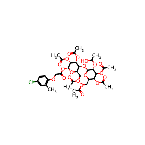 CC(=O)OC[C@H]1O[C@@H](O[C@H]2[C@H](OC(C)=O)[C@@H](OC(C)=O)[C@H](OC(=O)COc3ccc(Cl)cc3C)O[C@@H]2COC(C)=O)[C@H](OC(C)O)[C@@H](OC(C)=O)[C@H]1OC(C)=O